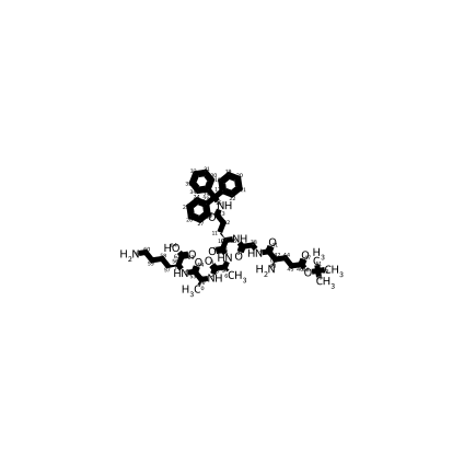 C[C@H](NC(=O)[C@H](C)NC(=O)[C@H](CCC(=O)NC(c1ccccc1)(c1ccccc1)c1ccccc1)NC(=O)CNC(=O)[C@@H](N)CCC(=O)OC(C)(C)C)C(=O)N[C@@H](CCCCN)C(=O)O